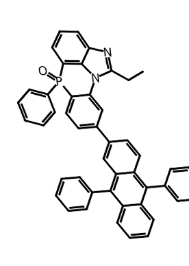 CCc1nc2cccc3c2n1-c1cc(-c2ccc4c(-c5ccccc5)c5ccccc5c(-c5ccccc5)c4c2)ccc1P3(=O)c1ccccc1